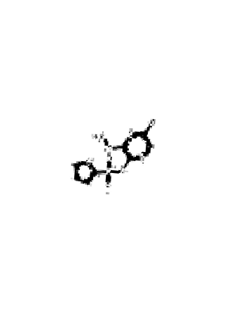 COc1nc(Cl)cnc1NS(=O)(=O)c1cccs1